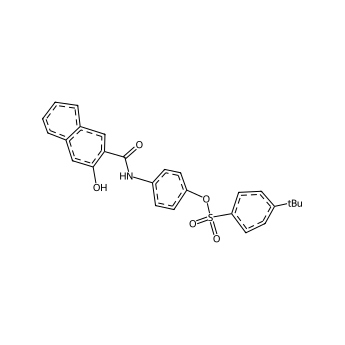 CC(C)(C)c1ccc(S(=O)(=O)Oc2ccc(NC(=O)c3cc4ccccc4cc3O)cc2)cc1